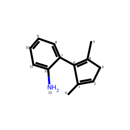 CC1=CCC(C)=C1c1ccccc1N